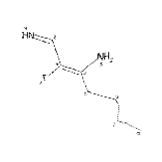 CCCC/C(N)=C(\F)C=N